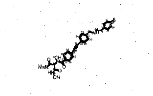 CNC(=O)C(C(=O)NO)N(C)C(=O)c1ccc(C#Cc2ccc(CNCCc3ccc(F)cc3)cc2)cc1